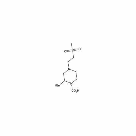 CC(C)(C)C1CN(CCS(C)(=O)=O)CCN1C(=O)O